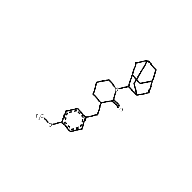 O=C1C(Cc2ccc(OC(F)(F)F)cc2)CCCN1C1C2CC3CC(C2)CC1C3